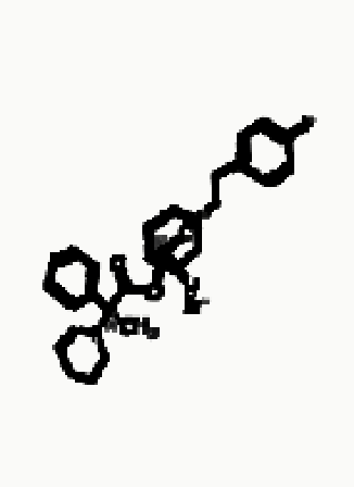 C[C@@](C(=O)O[C@H]1C[N+]2(CCc3ccc(F)cc3)CCC1CC2)(c1ccccc1)N1CCCCC1.[Br-]